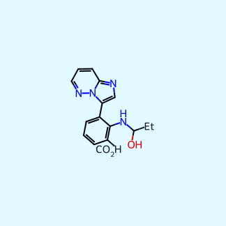 CCC(O)Nc1c(C(=O)O)cccc1-c1cnc2cccnn12